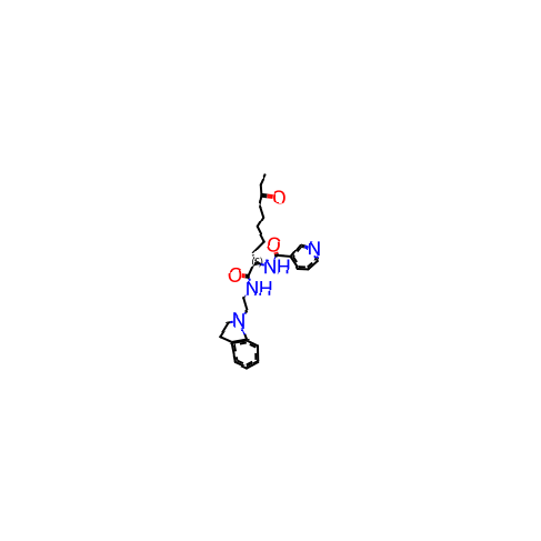 CCC(=O)CCCCC[C@H](NC(=O)c1cccnc1)C(=O)NCCN1CCc2ccccc21